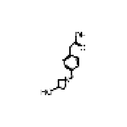 O=C(O)Cc1ccc(CN2CC(O)C2)cc1